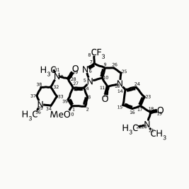 COc1ccc(-n2nc(C(F)(F)F)c3c2C(=O)N(c2ccc(C(=O)N(C)C)cc2)CC3)c(C(=O)N(C)C2CCN(C)CC2)c1